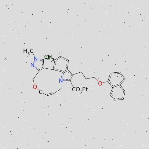 CCOC(=O)c1c(CCCOc2cccc3ccccc23)c2ccc(Cl)c3c2n1C/C=C\COCc1nn(C)c(C)c1-3